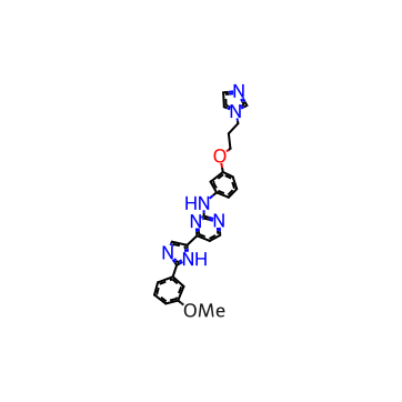 COc1cccc(-c2ncc(-c3ccnc(Nc4cccc(OCCCn5ccnc5)c4)n3)[nH]2)c1